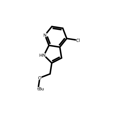 CC(C)(C)OCc1cc2c(Cl)ccnc2[nH]1